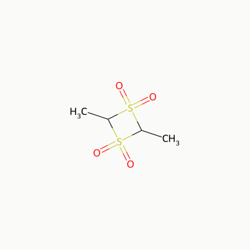 CC1S(=O)(=O)C(C)S1(=O)=O